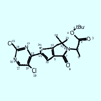 CC(C(=O)OC(C)(C)C)N1C(=O)c2cc(-c3nc(Cl)ncc3Cl)sc2C1(C)C